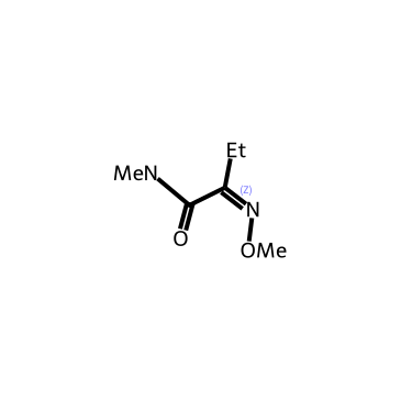 CC/C(=N/OC)C(=O)NC